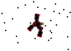 O=C(OCc1ccc([N+](=O)[O-])cc1)OC[C@]1(C(=O)N2CCN(C(=O)OCc3ccc([N+](=O)[O-])cc3)CC2)C[C@H](S)CN1C(=O)OCc1ccc([N+](=O)[O-])cc1